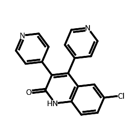 O=c1[nH]c2ccc(Cl)cc2c(-c2ccncc2)c1-c1ccncc1